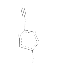 [C-]#[N+]c1ncc(F)cn1